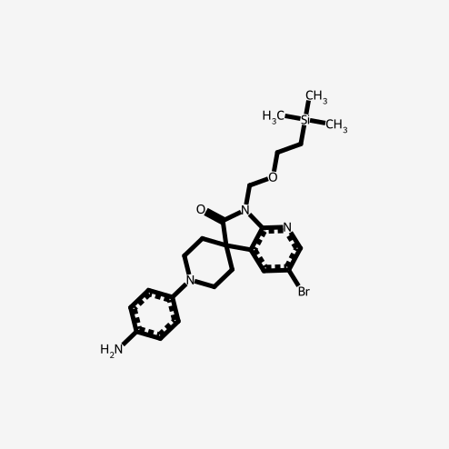 C[Si](C)(C)CCOCN1C(=O)C2(CCN(c3ccc(N)cc3)CC2)c2cc(Br)cnc21